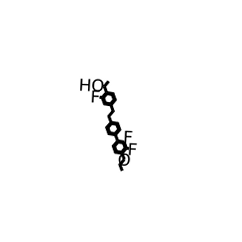 CCOc1ccc(-c2ccc(CCc3ccc(C(C)O)c(F)c3)cc2)c(F)c1F